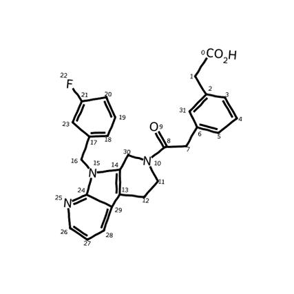 O=C(O)Cc1cccc(CC(=O)N2CCc3c(n(Cc4cccc(F)c4)c4ncccc34)C2)c1